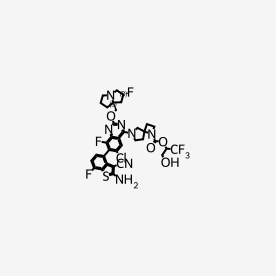 N#Cc1c(N)sc2c(F)ccc(-c3c(Cl)cc4c(N5CCC6(CCN6C(=O)OC(CO)C(F)(F)F)C5)nc(OC[C@@]56CCCN5C[C@H](F)C6)nc4c3F)c12